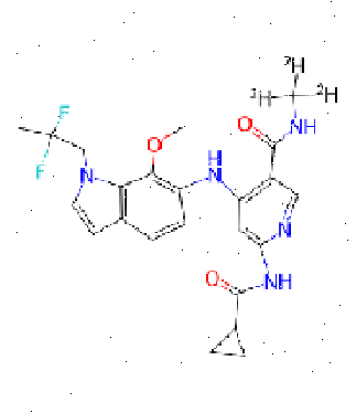 [2H]C([2H])([2H])NC(=O)c1cnc(NC(=O)C2CC2)cc1Nc1ccc2ccn(CC(C)(F)F)c2c1OC